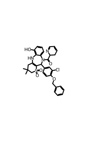 CC1(C)CC2=C(C(c3ccc(OCc4ccccc4)c(Cl)c3)N(C(=O)C3CC=CC=N3)c3cccc(O)c3N2)S(=O)(=O)C1